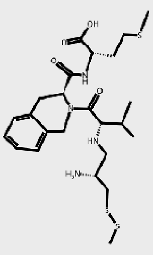 CSCC[C@H](NC(=O)[C@@H]1Cc2ccccc2CN1C(=O)[C@@H](NC[C@@H](N)CSSC)C(C)C)C(=O)O